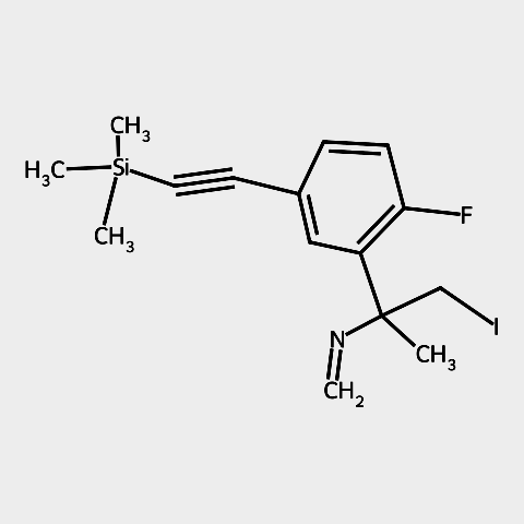 C=NC(C)(CI)c1cc(C#C[Si](C)(C)C)ccc1F